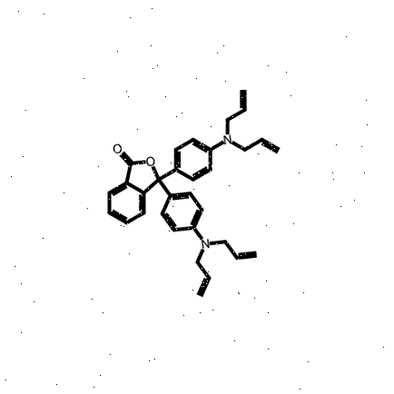 C=CCN(CC=C)c1ccc(C2(c3ccc(N(CC=C)CC=C)cc3)OC(=O)c3ccccc32)cc1